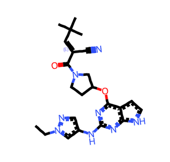 CCn1cc(Nc2nc(OC3CCN(C(=O)/C(C#N)=C/C(C)(C)C)C3)c3cc[nH]c3n2)cn1